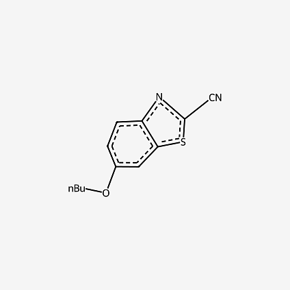 CCCCOc1ccc2nc(C#N)sc2c1